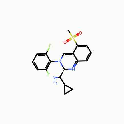 CS(=O)(=O)c1cccc2c1=CN(c1c(F)cccc1F)[C@H](C(N)C1CC1)N=2